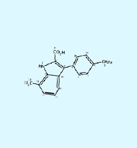 COc1ccc(-c2c(C(=O)O)[nH]c3c(C)cccc23)cc1